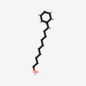 OCCCCCCCCCCC1CCCCC1